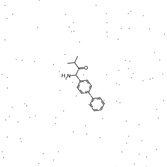 CC(C)C(=O)C(N)c1ccc(-c2ccccc2)cc1